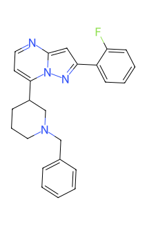 Fc1ccccc1-c1cc2nccc(C3CCCN(Cc4ccccc4)C3)n2n1